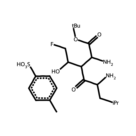 CC(C)CC(N)C(=O)C(C(O)CF)C(N)C(=O)OC(C)(C)C.Cc1ccc(S(=O)(=O)O)cc1